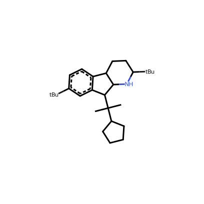 CC(C)(C)c1ccc2c(c1)C(C(C)(C)C1CCCC1)C1NC(C(C)(C)C)CCC21